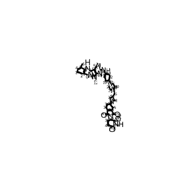 Cc1cccc(C)c1Nc1nn(C)c2nc(Nc3ccc(N4CCN(CC5CN(c6ccc7c(c6)C(=O)N(C6CCC(=O)NC6=O)C7=O)C5)[C@@H](C)C4)cc3)ncc12